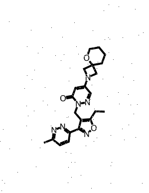 CCc1onc(-c2ccc(C)nn2)c1Cn1ncc(N2CC3(CCCCO3)C2)cc1=O